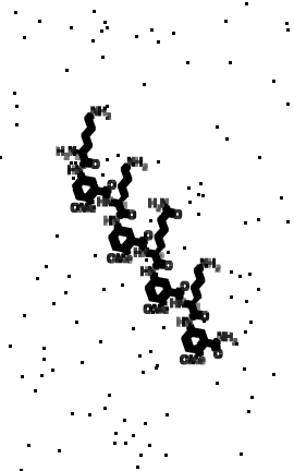 COc1ccc(NC(=O)[C@H](CCCCN)NC(=O)c2cc(NC(=O)[C@H](CCCCC(N)=O)NC(=O)c3cc(NC(=O)[C@H](CCCCN)NC(=O)c4cc(NC(=O)[C@@H](N)CCCCN)ccc4OC)ccc3OC)ccc2OC)cc1C(N)=O